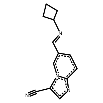 N#Cc1cnc2ccc(C=NC3CCC3)cn12